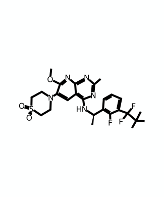 COc1nc2nc(C)nc(N[C@H](C)c3cccc(C(F)(F)C(C)(C)C)c3F)c2cc1N1CCS(=O)(=O)CC1